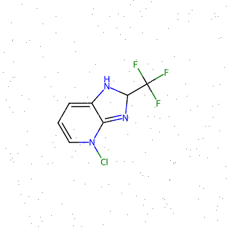 FC(F)(F)C1N=C2C(=CC=CN2Cl)N1